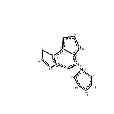 c1cc2n3c(cnc-2n1)N=NC3.c1cnccn1